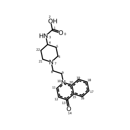 O=C(O)NC1CCN(CCn2ccc(=O)c3ccccc32)CC1